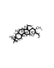 C[C@H]([C@H](O)CF)[C@H]1CC[C@H]2[C@@H]3CC[C@@H]4C[C@@](O)(C(F)(F)F)CC[C@@H]4[C@H]3CC[C@]12C